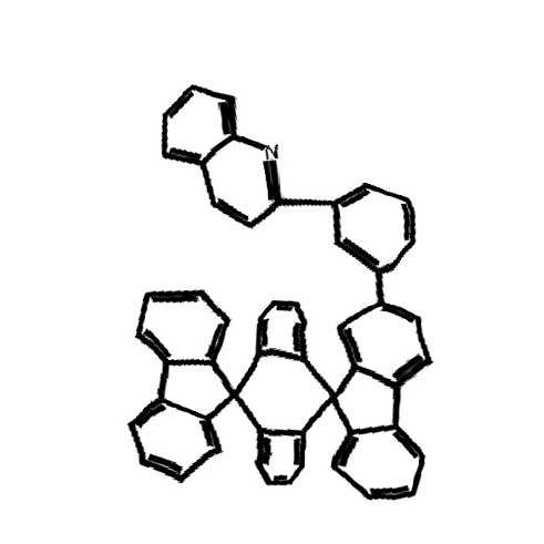 c1cc(-c2ccc3c(c2)C2(c4ccccc4-3)c3ccccc3C3(c4ccccc4-c4ccccc43)c3ccccc32)cc(-c2ccc3ccccc3n2)c1